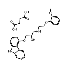 COc1ccccc1OCCNCC(O)COc1cccc2[nH]c3ccccc3c12.O=C(O)CCC(=O)O